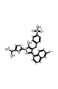 NS(=O)(=O)c1ccc(Cc2c(-c3cccc4cc(F)ccc34)nn(-c3nc(C(O)O)cs3)c2O)cc1